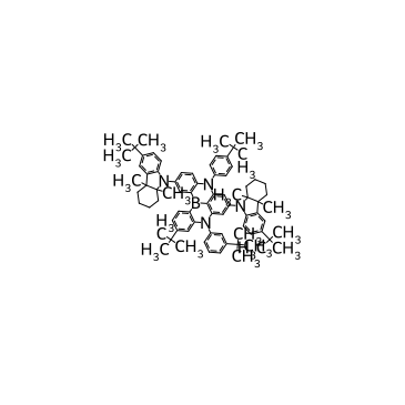 CC(C)(C)c1ccc(N2c3ccc(N4c5ccc(C(C)(C)C)cc5C5(C)CCCCC45C)cc3B3c4ccc(C(C)(C)C)cc4N(c4cccc(C(C)(C)C)c4)c4cc(N5c6ccc(C(C)(C)C)cc6C6(C)CCCCC56C)cc2c43)cc1